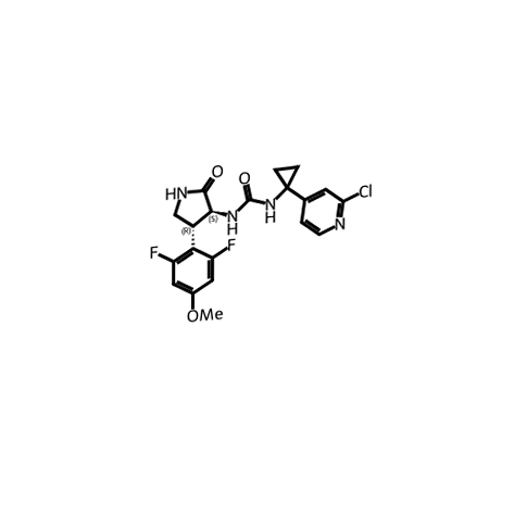 COc1cc(F)c([C@@H]2CNC(=O)[C@H]2NC(=O)NC2(c3ccnc(Cl)c3)CC2)c(F)c1